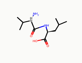 CC(C)C[C@H](NC(=O)[Si@@H](N)C(C)C)C(=O)O